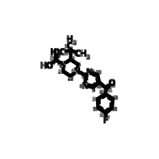 CC(C)(C)C1CN(c2ncc(C(=O)c3ccc(F)cc3)cn2)CCN1C(=O)O